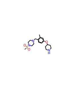 Cc1cc(OC2CCNCC2)ccc1CN1CCN(S(C)(=O)=O)CC1